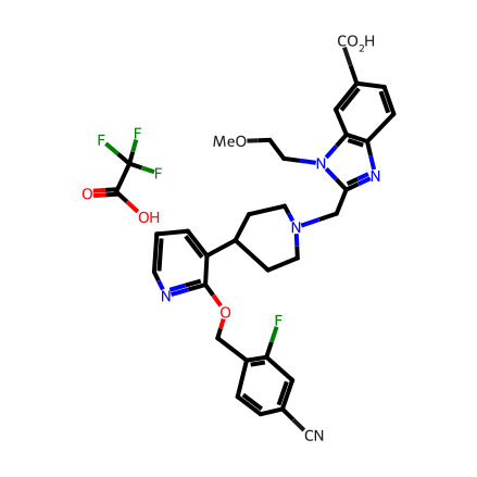 COCCn1c(CN2CCC(c3cccnc3OCc3ccc(C#N)cc3F)CC2)nc2ccc(C(=O)O)cc21.O=C(O)C(F)(F)F